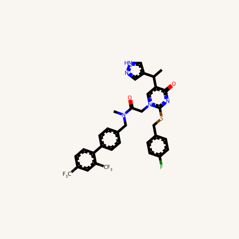 CC(c1cn[nH]c1)c1cn(CC(=O)N(C)Cc2ccc(-c3ccc(C(F)(F)F)cc3C(F)(F)F)cc2)c(SCc2ccc(F)cc2)nc1=O